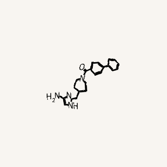 Nc1c[nH]c(CC2CCN(C(=O)c3ccc(-c4ccccc4)cc3)CC2)n1